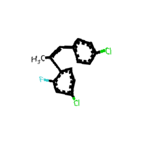 C/C(=C/c1ccc(Cl)cc1)c1ccc(Cl)cc1F